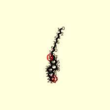 CCCCCCCCCCCCc1cc2cc3ccc4c5cc6occc6cc5ccc4c3cc2o1